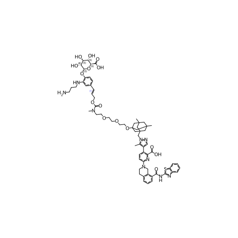 Cc1c(-c2ccc(N3CCc4cccc(C(=O)Nc5nc6ccccc6s5)c4C3)nc2C(=O)O)cnn1CC12CC3(C)CC(C)(C1)CC(OCCOCCOCCN(C)C(=O)OC/C=C/c1ccc(O[C@@H]4O[C@H](C(=O)O)[C@@H](O)[C@H](O)[C@H]4O)c(NCCCN)c1)(C3)C2